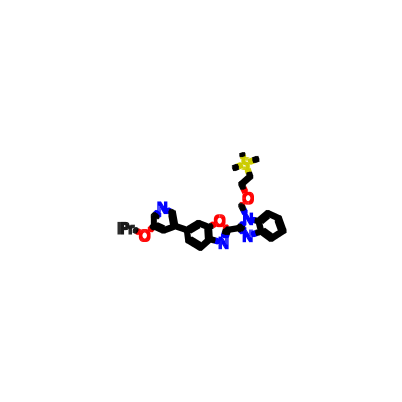 CC(C)Oc1cncc(-c2ccc3nc(-c4nc5ccccc5n4COCCS(C)(C)C)oc3c2)c1